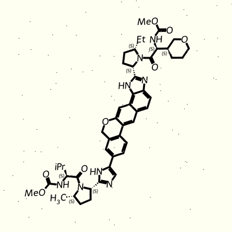 CC[C@H]1CC[C@@H](c2nc3ccc4cc5c(cc4c3[nH]2)OCc2cc(-c3cnc([C@@H]4CC[C@H](C)N4C(=O)[C@@H](NC(=O)OC)C(C)C)[nH]3)ccc2-5)N1C(=O)[C@@H](NC(=O)OC)[C@@H]1CCCOC1